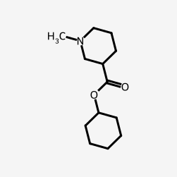 CN1CCCC(C(=O)OC2CCCCC2)C1